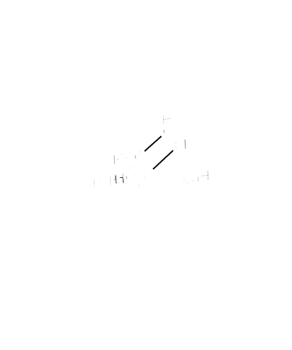 CC(=O)O.CC(=O)O.[BaH2].[CaH2]